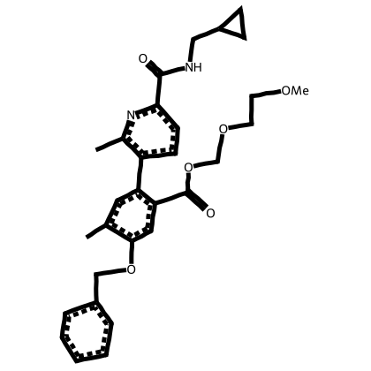 COCCOCOC(=O)c1cc(OCc2ccccc2)c(C)cc1-c1ccc(C(=O)NCC2CC2)nc1C